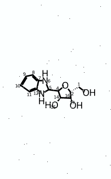 OC[C@H]1OC(C2Nc3ccccc3N2)[C@H](O)[C@@H]1O